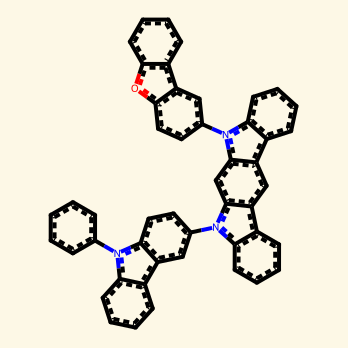 c1ccc(-n2c3ccccc3c3cc(-n4c5ccccc5c5cc6c7ccccc7n(-c7ccc8oc9ccccc9c8c7)c6cc54)ccc32)cc1